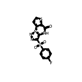 O=c1[nH]c2c(S(=O)(=O)c3ccc(F)cc3)nnn2c2ccsc12